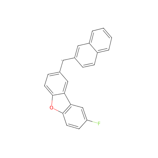 Fc1ccc2oc3ccc([CH]c4ccc5ccccc5c4)cc3c2c1